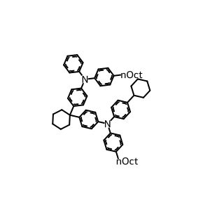 CCCCCCCCc1ccc(N(c2ccccc2)c2ccc(C3(c4ccc(N(c5ccc(CCCCCCCC)cc5)c5ccc(C6CCCCC6)cc5)cc4)CCCCC3)cc2)cc1